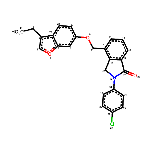 O=C(O)Cc1coc2cc(OCc3cccc4c3CN(c3ccc(Cl)cc3)C4=O)ccc12